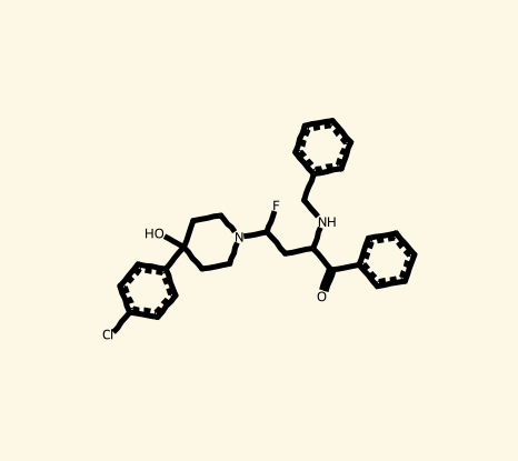 O=C(c1ccccc1)C(CC(F)N1CCC(O)(c2ccc(Cl)cc2)CC1)NCc1ccccc1